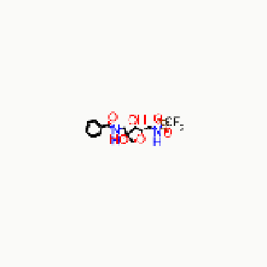 O=C(NC[C@]1(O)CO[C@H](CNS(=O)(=O)C(F)(F)F)[C@H]1O)c1ccccc1